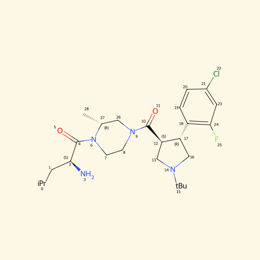 CC(C)C[C@H](N)C(=O)N1CCN(C(=O)[C@@H]2CN(C(C)(C)C)C[C@H]2c2ccc(Cl)cc2F)C[C@H]1C